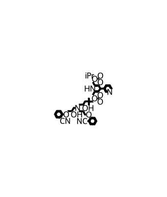 CC1=C(OC(=O)OCC(C)(C)CCCN(CC(O)COc2ccccc2C#N)CC(O)COc2ccccc2C#N)C(c2cccnc2)C(OC(=O)OC(C)C)=C(C)N1